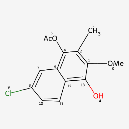 COc1c(C)c(OC(C)=O)c2cc(Cl)ccc2c1O